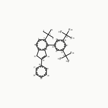 CC(C)(C)c1ccc2c(c1-c1cc(C(F)(F)F)cc(C(F)(F)F)c1)C=C(c1ccccc1)[CH]2